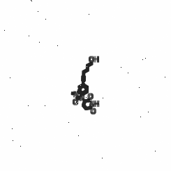 Cn1c(=O)n(C2CCC(=O)NC2=O)c2ccc(C#CCCCCO)cc21